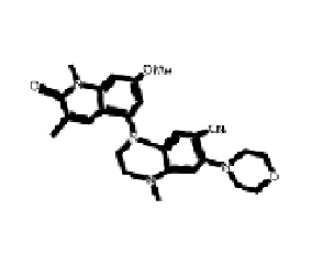 COc1cc(N2CCN(C)c3cc(N4CCOCC4)c(C#N)cc32)c2cc(C)c(=O)n(C)c2c1